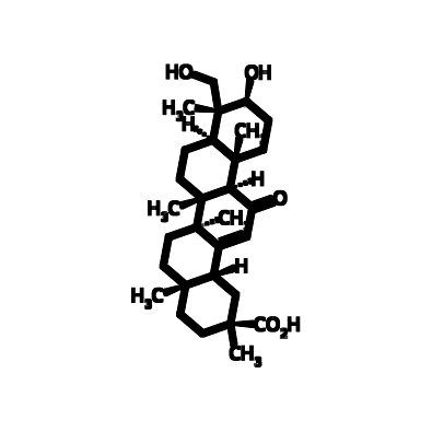 C[C@]1(C(=O)O)CC[C@]2(C)CC[C@]3(C)C(=CC(=O)[C@@H]4[C@@]5(C)CC[C@H](O)[C@@](C)(CO)[C@@H]5CC[C@]43C)[C@@H]2C1